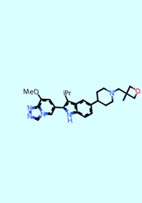 COc1cc(-c2[nH]c3ccc(C4CCN(CC5(C)COC5)CC4)cc3c2C(C)C)cn2cnnc12